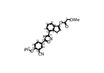 COCC(=O)OC1=CCc2c1cccc2-c1noc(-c2ccc(OC(C)C)c(C#N)c2)n1